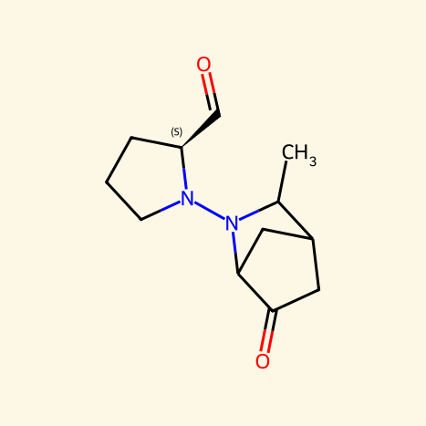 CC1C2CC(=O)C(C2)N1N1CCC[C@H]1C=O